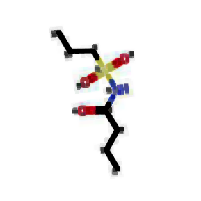 CCCC(=O)NS(=O)(=O)CCC